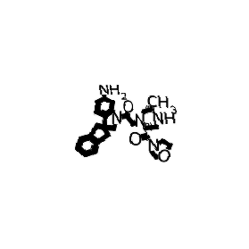 C[C@@H]1CN(CC(=O)N2CC3(Cc4ccccc4C3)c3ccc(N)cc32)[C@@H](C(=O)N2CCOCC2)CN1